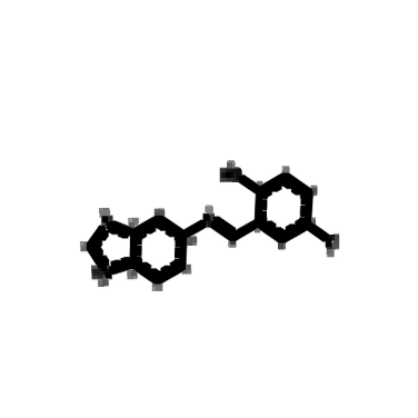 Oc1ccc(Cl)cc1/C=N/c1ccc2[nH]cnc2c1